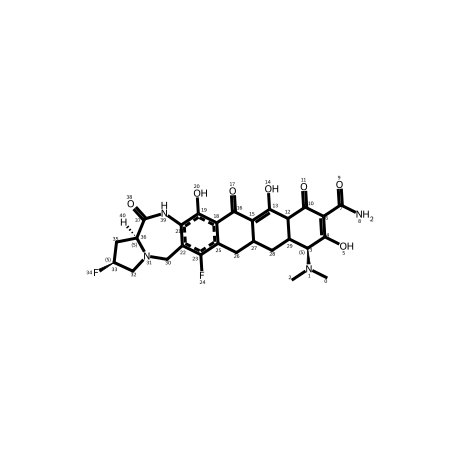 CN(C)[C@@H]1C(O)=C(C(N)=O)C(=O)C2C(O)=C3C(=O)c4c(O)c5c(c(F)c4CC3CC21)CN1C[C@@H](F)C[C@H]1C(=O)N5